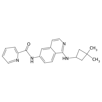 CC1(C)CC(Nc2nccc3cc(NC(=O)c4ccccn4)ccc23)C1